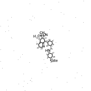 CSc1ccc(NCc2cccc(-c3cc(C(C)(C)C#N)cc4cccnc34)c2)cc1